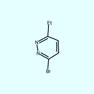 CCc1ccc(Br)nn1